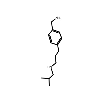 CC(C)CNCCCc1ccc(CN)cc1